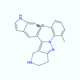 Cc1cccc(OCC(C)C)c1-n1nc2c(c1-c1ccc3[nH]ccc3c1)CNCC2